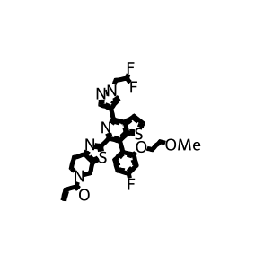 C=CC(=O)N1CCc2nc(-c3nc(-c4cnn(CC(F)F)c4)c4ccsc4c3-c3ccc(F)cc3OCCOC)sc2C1